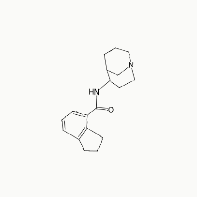 O=C(NC1CCN2CCCC1C2)c1cccc2c1CCC2